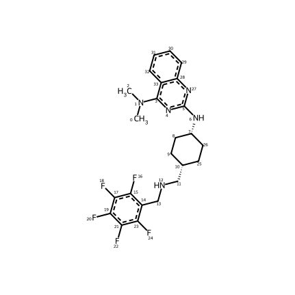 CN(C)c1nc(N[C@H]2CC[C@@H](CNCc3c(F)c(F)c(F)c(F)c3F)CC2)nc2ccccc12